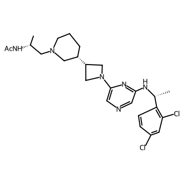 CC(=O)N[C@H](C)CN1CCC[C@H](C2CN(c3cncc(N[C@H](C)c4ccc(Cl)cc4Cl)n3)C2)C1